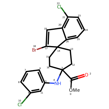 COC(=O)C1(Nc2cccc(Cl)c2)CCC2(CC1)C(Br)=Cc1c(Cl)cccc12